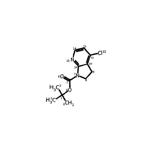 CC(C)(C)OC(=O)N1CCc2c(Cl)ccnc21